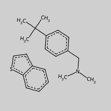 CN(C)Cc1ccc(C(C)(C)C)cc1.c1ccc2sccc2c1